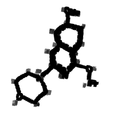 COc1ccc2c(OC(C)C)nc(N3CCOCC3)cc2c1